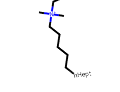 CCCCCCCCCCCC[N+](C)(C)CC(=O)[O-]